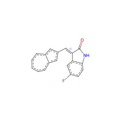 O=C1Nc2ccc(F)cc2/C1=C\c1cc2cccccc-2c1